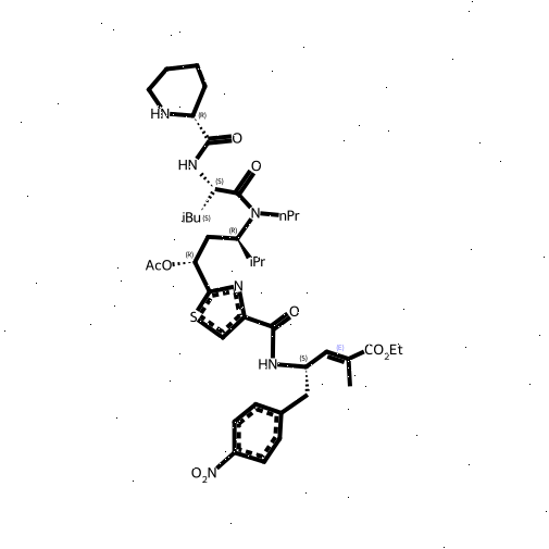 CCCN(C(=O)[C@@H](NC(=O)[C@H]1CCCCN1)[C@@H](C)CC)[C@H](C[C@@H](OC(C)=O)c1nc(C(=O)N[C@H](/C=C(\C)C(=O)OCC)Cc2ccc([N+](=O)[O-])cc2)cs1)C(C)C